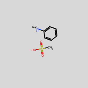 CS(=O)(=O)O.[NH-]c1ccccc1.[Na+]